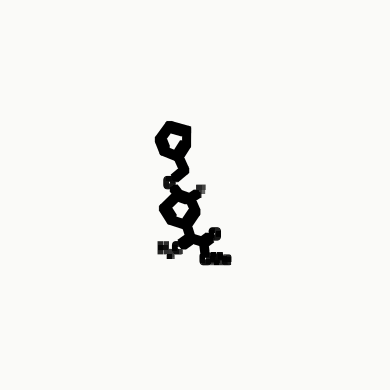 C=C(C(=O)OC)c1ccc(OCc2ccccc2)c(F)c1